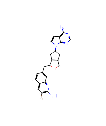 Nc1nc2cc(CC3OCC4CC(n5ccc6c(N)ncnc65)CC43)ccc2cc1Br